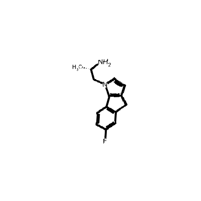 C[C@H](N)Cn1ccc2c1-c1ccc(F)cc1C2